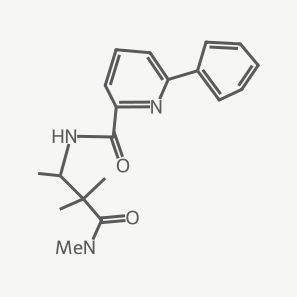 CNC(=O)C(C)(C)C(C)NC(=O)c1cccc(-c2ccccc2)n1